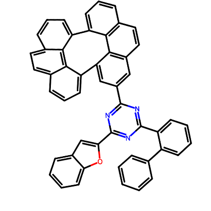 c1ccc(-c2ccccc2-c2nc(-c3cc4ccc5cccc6c7cccc8ccc9cccc(c(c3)c4c56)c9c87)nc(-c3cc4ccccc4o3)n2)cc1